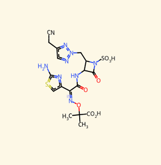 CC(C)(O/N=C(\C(=O)NC1C(=O)N(S(=O)(=O)O)C1Cn1ncc(CC#N)n1)c1csc(N)n1)C(=O)O